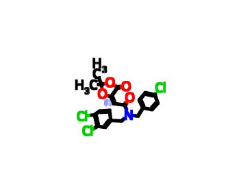 CC1(C)OC(=O)/C(=C\C(=O)N(Cc2ccc(Cl)cc2)Cc2ccc(Cl)c(Cl)c2)O1